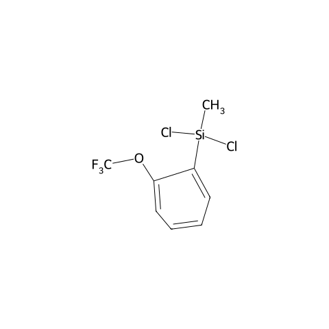 C[Si](Cl)(Cl)c1ccccc1OC(F)(F)F